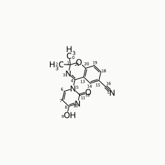 CC1(C)N=C(n2ccc(O)nc2=O)c2cc(C#N)ccc2O1